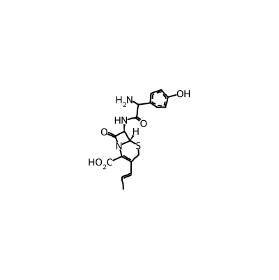 CC=CC1=C(C(=O)O)N2C(=O)[C@@H](NC(=O)C(N)c3ccc(O)cc3)[C@@H]2SC1